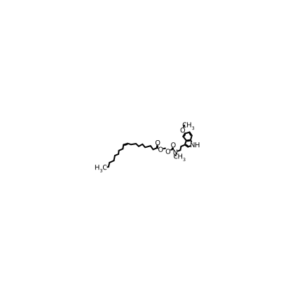 CCCCCCCC/C=C\CCCCCCCC(=O)OCOC(=O)N(C)CCc1c[nH]c2ccc(OC)cc12